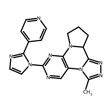 Cc1nnc2n1-c1cnc(-n3ccnc3-c3ccncc3)nc1N1CCCC21